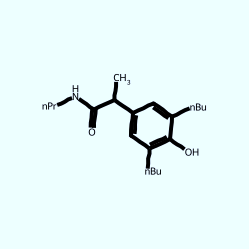 CCCCc1cc(C(C)C(=O)NCCC)cc(CCCC)c1O